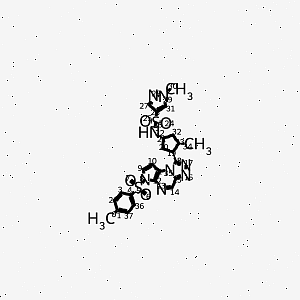 Cc1ccc(S(=O)(=O)n2ccc3c2ncc2nnc([C@H]4C[C@@H](NS(=O)(=O)c5cnn(C)c5)C[C@H]4C)n23)cc1